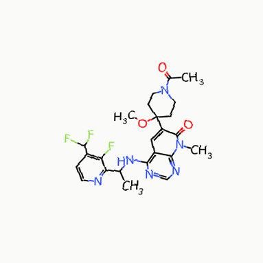 COC1(c2cc3c(NC(C)c4nccc(C(F)F)c4F)ncnc3n(C)c2=O)CCN(C(C)=O)CC1